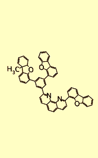 CC12C=CC=CC1Oc1c(-c3cc(-c4ccc5ccc6ccc(-c7cccc8c7oc7ccccc78)nc6c5n4)cc(-c4cccc5c4oc4ccccc45)c3)cccc12